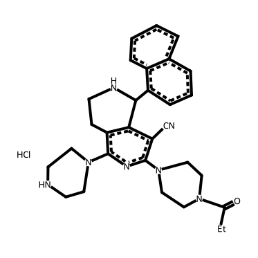 CCC(=O)N1CCN(c2nc(N3CCNCC3)c3c(c2C#N)C(c2cccc4ccccc24)NCC3)CC1.Cl